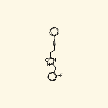 Fc1ccccc1Cc1noc(CCC#Cc2ccccn2)n1